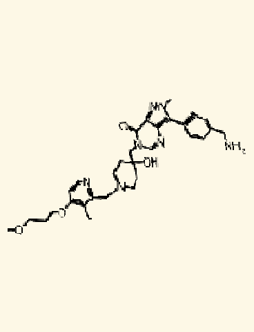 COCCCOc1ccnc(CN2CCC(O)(Cn3cnc4c(-c5ccc(CN)cc5)n(C)nc4c3=O)CC2)c1C